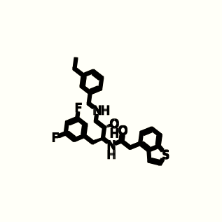 CCc1cccc(CNC[C@H](O)[C@H](Cc2cc(F)cc(F)c2)NC(=O)Cc2cccc3sccc23)c1